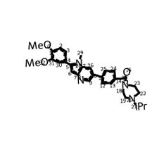 COc1ccc(-c2cc3ncc(-c4ccc(C(=O)N5CCN(C(C)C)CC5)cc4)cc3n2C)cc1OC